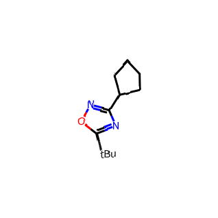 CC(C)(C)c1nc(C2CCCC2)no1